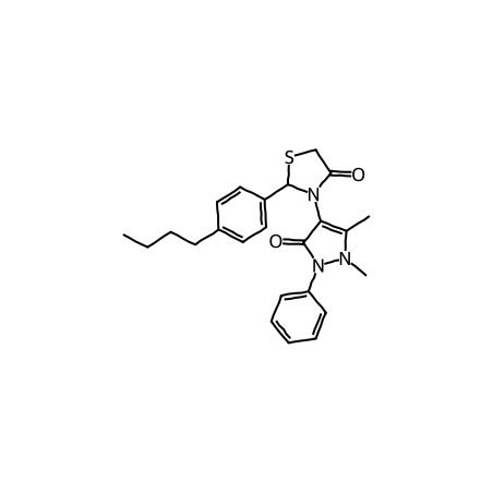 CCCCc1ccc(C2SCC(=O)N2c2c(C)n(C)n(-c3ccccc3)c2=O)cc1